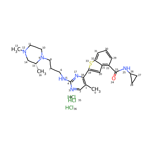 Cc1cnc(NCCCN2CCN(C)C[C@H]2C)nc1-c1cc2c(C(=O)NC3CC3)cccc2s1.Cl.Cl.Cl